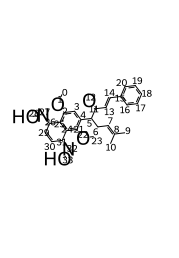 COc1cc(C(CC=C(C)C)C(=O)C=Cc2ccccc2)c(OC)c2c1C(=NO)C=CC2=NO